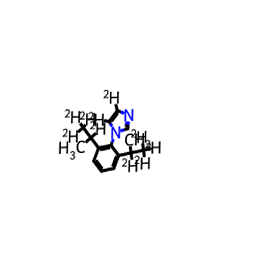 [2H]c1ncn(-c2c(C([2H])(C)C([2H])([2H])[2H])cccc2C([2H])(C)C([2H])([2H])[2H])c1[2H]